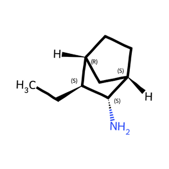 CC[C@H]1[C@@H]2CC[C@@H](C2)[C@@H]1N